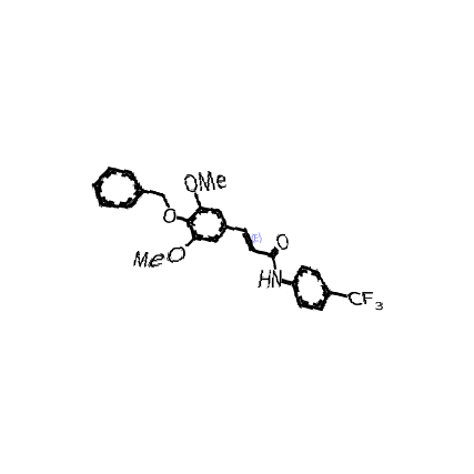 COc1cc(/C=C/C(=O)Nc2ccc(C(F)(F)F)cc2)cc(OC)c1OCc1ccccc1